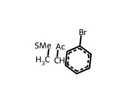 Brc1ccccc1.CC(C)=O.CSC